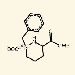 COC(=O)C1CCC[N@+](Cc2ccccc2)(C(=O)[O-])N1